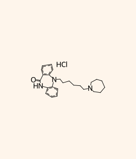 Cl.O=C1Nc2ccccc2N(CCCCCCN2CCCCCC2)c2ccccc21